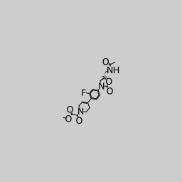 COC(=O)C(=O)N1CC=C(c2ccc(N3C[C@H](CNC(C)=O)OC3=O)cc2F)CC1